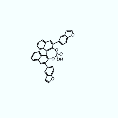 O=P1(O)Oc2c(-c3ccc4occc4c3)cc3ccccc3c2-c2c(c(-c3ccc4occc4c3)cc3ccccc23)O1